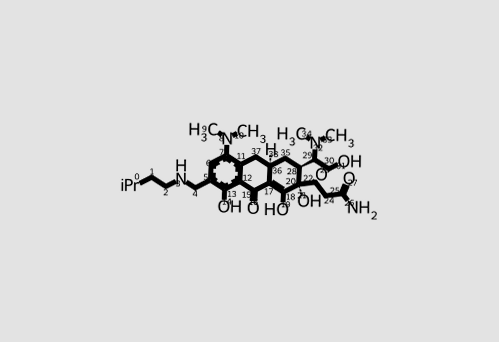 CC(C)CCNCc1cc(N(C)C)c2c(c1O)C(=O)C1=C(O)[C@](O)(C(=O)CC(N)=O)[C@H](C(CO)N(C)C)C[C@@H]1C2